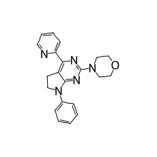 c1ccc(N2CCc3c(-c4ccccn4)nc(N4CCOCC4)nc32)cc1